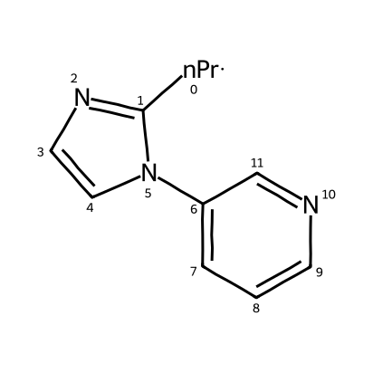 CC[CH]c1nccn1-c1cccnc1